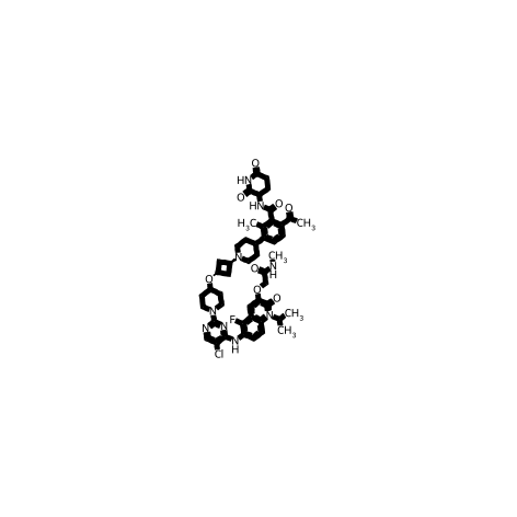 CNC(=O)COc1cc2c(F)c(Nc3nc(N4CCC(O[C@H]5C[C@H](N6CCC(c7ccc(C(C)=O)c(C(=O)NC8CCC(=O)NC8=O)c7C)CC6)C5)CC4)ncc3Cl)ccc2n(C(C)C)c1=O